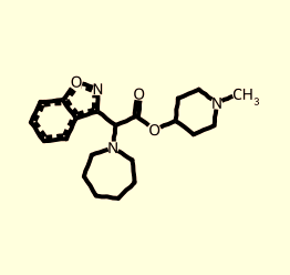 CN1CCC(OC(=O)C(c2noc3ccccc23)N2CCCCCC2)CC1